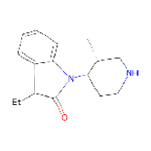 CCC1C(=O)N(C2CCNC[C@H]2C)c2ccccc21